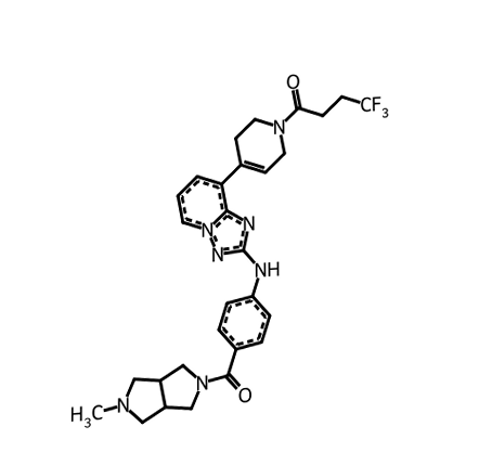 CN1CC2CN(C(=O)c3ccc(Nc4nc5c(C6=CCN(C(=O)CCC(F)(F)F)CC6)cccn5n4)cc3)CC2C1